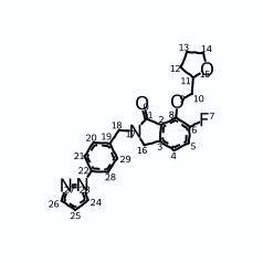 O=C1c2c(ccc(F)c2OCC2CCCO2)CN1Cc1ccc(-n2cccn2)cc1